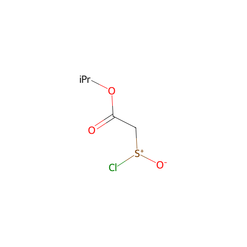 CC(C)OC(=O)C[S+]([O-])Cl